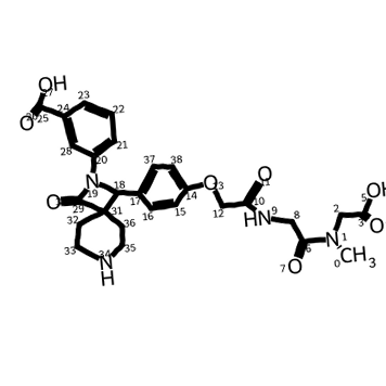 CN(CC(=O)O)C(=O)CNC(=O)COc1ccc(C2N(c3cccc(C(=O)O)c3)C(=O)C23CCNCC3)cc1